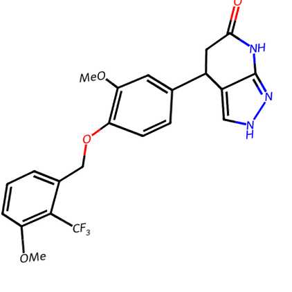 COc1cc(C2CC(=O)Nc3n[nH]cc32)ccc1OCc1cccc(OC)c1C(F)(F)F